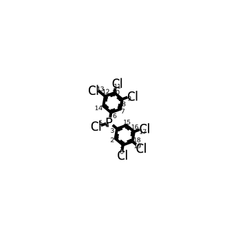 Clc1cc(P(Cl)c2cc(Cl)c(Cl)c(Cl)c2)cc(Cl)c1Cl